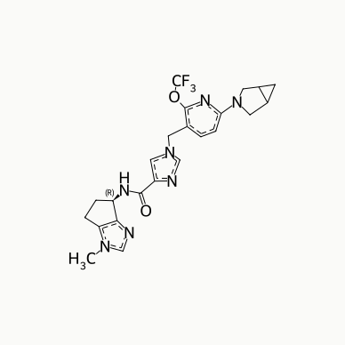 Cn1cnc2c1CC[C@H]2NC(=O)c1cn(Cc2ccc(N3CC4CC4C3)nc2OC(F)(F)F)cn1